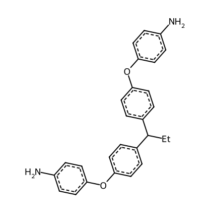 CCC(c1ccc(Oc2ccc(N)cc2)cc1)c1ccc(Oc2ccc(N)cc2)cc1